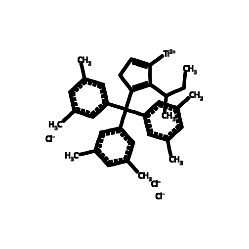 CCC(C)C1=C(C(c2cc(C)cc(C)c2)(c2cc(C)cc(C)c2)c2cc(C)cc(C)c2)CC=[C]1[Ti+3].[Cl-].[Cl-].[Cl-]